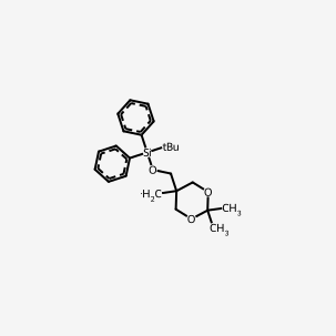 [CH2]C1(CO[Si](c2ccccc2)(c2ccccc2)C(C)(C)C)COC(C)(C)OC1